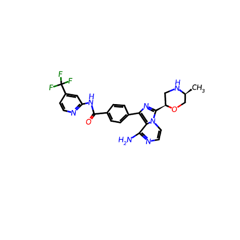 C[C@H]1CO[C@@H](c2nc(-c3ccc(C(=O)Nc4cc(C(F)(F)F)ccn4)cc3)c3c(N)nccn23)CN1